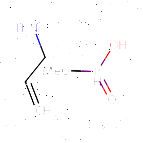 C=CCN.CO[PH](=O)O